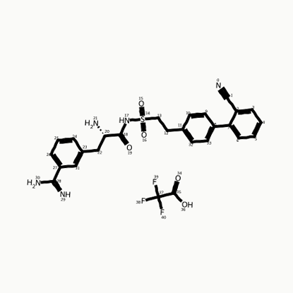 N#Cc1ccccc1-c1ccc(CCS(=O)(=O)NC(=O)[C@@H](N)Cc2cccc(C(=N)N)c2)cc1.O=C(O)C(F)(F)F